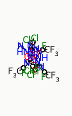 CN(C)CCCNC(C(=O)C(C(=O)C(=O)C(NCCN(C)C)N1C[C@H](c2ccc(Cl)c(Cl)c2)[C@H](N(C)Cc2ccc(C(F)(F)F)c(F)c2)C1)(N(C)CCCN(C)C)N1C[C@H](c2ccc(Cl)c(Cl)c2)[C@H](N(C)Cc2ccc(C(F)(F)F)c(F)c2)C1)N1C[C@H](c2ccc(Cl)c(Cl)c2)[C@H](N(C)Cc2ccc(C(F)(F)F)c(F)c2)C1